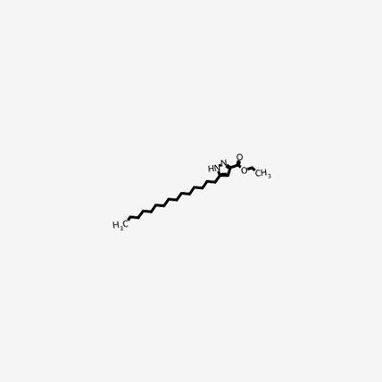 CCCCCCCCCCCCCCCc1cc(C(=O)OCC)n[nH]1